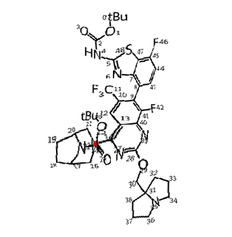 CC(C)(C)OC(=O)Nc1nc2c(-c3c(C(F)(F)F)cc4c(N5CC6CCC(C5)N6C(=O)OC(C)(C)C)nc(OCC56CCCN5CCC6)nc4c3F)ccc(F)c2s1